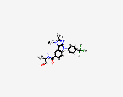 Cc1nc2c(c3cc(C(=O)NC(C)CO)ccc3n2-c2ccc(C(F)(F)F)cc2)n1C